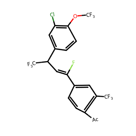 CC(=O)c1ccc(/C(F)=C/C(c2ccc(OC(F)(F)F)c(Cl)c2)C(F)(F)F)cc1C(F)(F)F